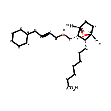 O=C(O)CCCCCC[C@@H]1[C@H](CSCC=CCC2CCCCC2)[C@@H]2CC[C@H]1O2